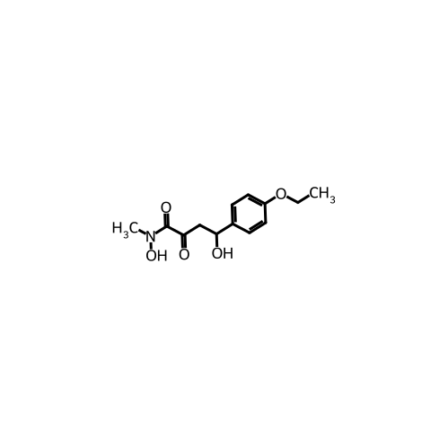 CCOc1ccc(C(O)CC(=O)C(=O)N(C)O)cc1